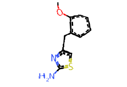 COc1ccccc1Cc1csc(N)n1